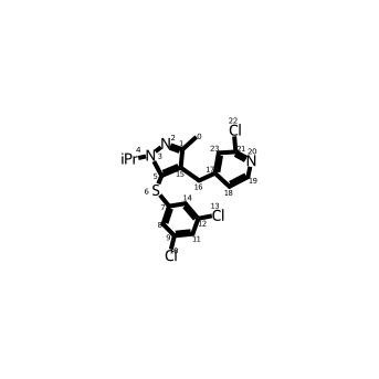 Cc1nn(C(C)C)c(Sc2cc(Cl)cc(Cl)c2)c1Cc1ccnc(Cl)c1